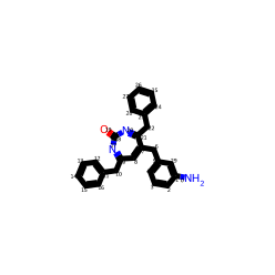 Nc1cccc(Cc2cc(Cc3ccccc3)nc(=O)nc2Cc2ccccc2)c1